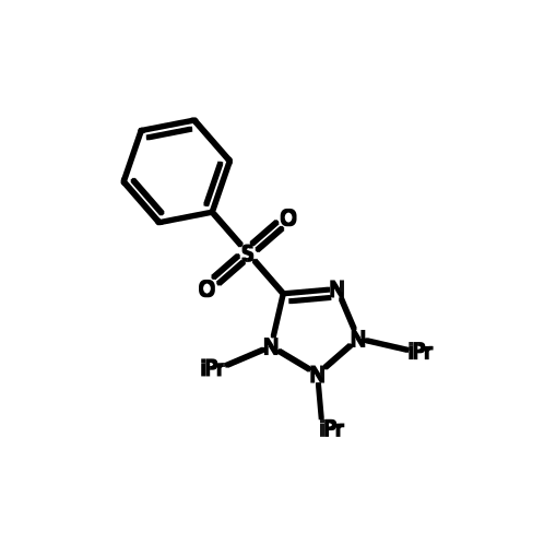 CC(C)N1N=C(S(=O)(=O)c2ccccc2)N(C(C)C)N1C(C)C